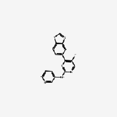 Fc1cnc(Nc2cc[c]nc2)nc1-c1ccc2scnc2c1